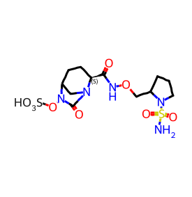 NS(=O)(=O)N1CCCC1CONC(=O)[C@@H]1CCC2CN1C(=O)N2OS(=O)(=O)O